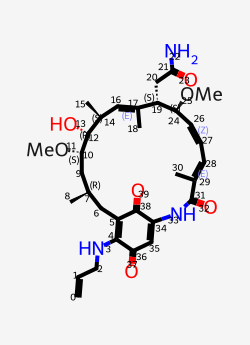 C=CCNC1=C2C[C@@H](C)C[C@H](OC)[C@H](O)[C@@H](C)/C=C(\C)[C@H](CC(N)=O)[C@@H](OC)/C=C\C=C(/C)C(=O)NC(=CC1=O)C2=O